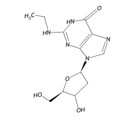 CCNc1nc2c(ncn2[C@H]2CC(O)[C@@H](CO)O2)c(=O)[nH]1